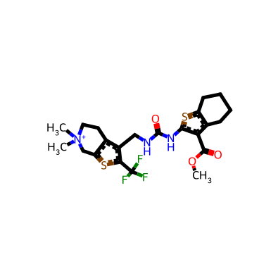 COC(=O)c1c(NC(=O)NCc2c(C(F)(F)F)sc3c2CC[N+](C)(C)C3)sc2c1CCCC2